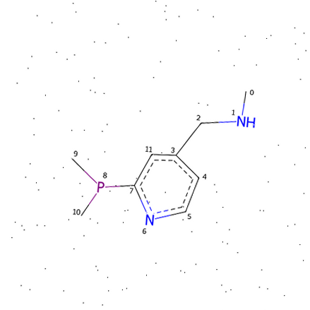 CNCc1ccnc(P(C)C)c1